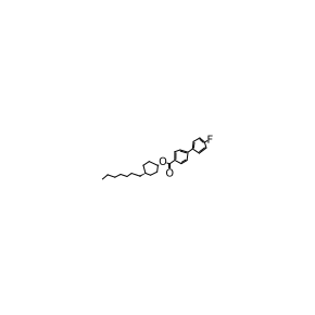 CCCCCCC[C@H]1CC[C@H](OC(=O)c2ccc(-c3ccc(F)cc3)cc2)CC1